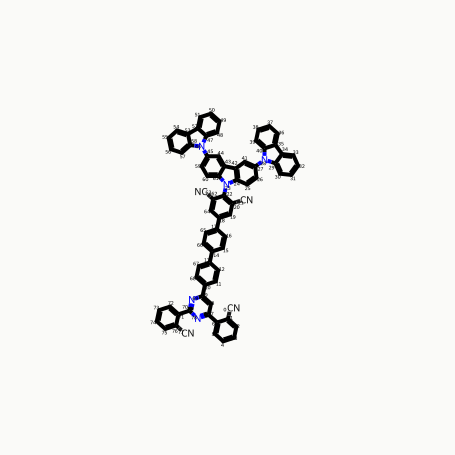 N#Cc1ccccc1-c1cc(-c2ccc(-c3ccc(-c4cc(C#N)c(-n5c6ccc(-n7c8ccccc8c8ccccc87)cc6c6cc(-n7c8ccccc8c8ccccc87)ccc65)c(C#N)c4)cc3)cc2)nc(-c2ccccc2C#N)n1